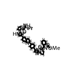 COC(=O)N[C@@H](C(=O)N1CCC[C@H]1c1ncc(-c2ccc(-c3ccc4cc(-c5c[nH]c([C@@H]6CCCN6C(=O)[C@@H](N)C(C)C)n5)ccc4n3)cc2)[nH]1)c1ccccc1